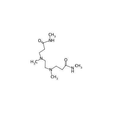 CNC(=O)CCN(C)CCN(C)CCC(=O)NC